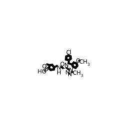 COc1ccc2c(c1)C(c1ccc(Cl)cc1)=N[C@@H](CC(=O)NCc1ccc3c(c1)COB3O)c1nnc(C)n1-2